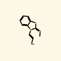 C/N=c1/sc2ccccc2n1/C=C/C(C)(C)C